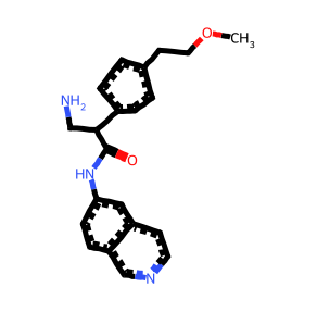 COCCc1ccc(C(CN)C(=O)Nc2ccc3cnccc3c2)cc1